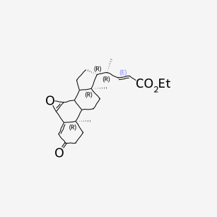 CCOC(=O)/C=C/[C@@H](C)[C@H]1CCC2C3C4=C(O4)C4=CC(=O)CC[C@]4(C)C3CC[C@@]21C